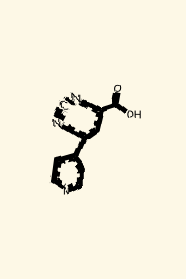 O=C(O)c1cc(-c2ccncc2)ncn1